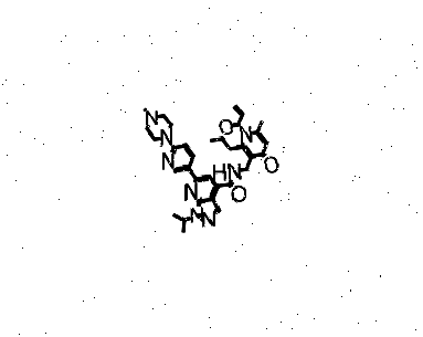 C=CC(=O)n1c(C)cc(=O)c(CNC(=O)c2cc(-c3ccc(N4CCN(C)CC4)nc3)nc3c2cnn3C(C)C)c1CCC